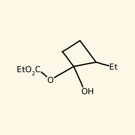 CCOC(=O)OC1(O)CCC1CC